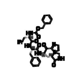 CC(C)C[C@H](NC(=O)OCc1ccccc1)C(=O)N[C@@H](Cc1ccccc1)C(=O)N[C@@H](C[C@@H]1CCNC1=O)C(=O)c1nccs1